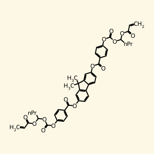 C=CC(=O)OC(CCC)OC(=O)Oc1ccc(C(=O)Oc2ccc3c(c2)C(C)(C)c2cc(OC(=O)c4ccc(OC(=O)OC(CCC)OC(=O)C=C)cc4)ccc2-3)cc1